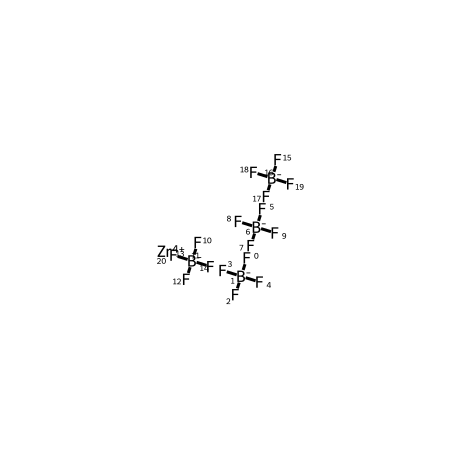 F[B-](F)(F)F.F[B-](F)(F)F.F[B-](F)(F)F.F[B-](F)(F)F.[Zr+4]